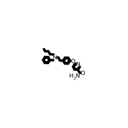 CCCCCN(CCc1ccc(Oc2ccc(C(N)=O)cn2)cc1)Cc1ccccc1